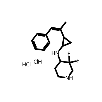 CC(=Cc1ccccc1)C1CC1NC1CCNCC1(F)F.Cl.Cl